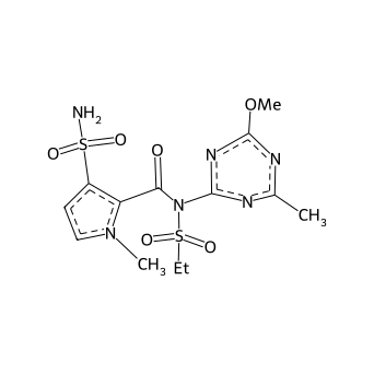 CCS(=O)(=O)N(C(=O)c1c(S(N)(=O)=O)ccn1C)c1nc(C)nc(OC)n1